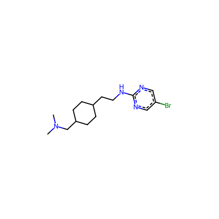 CN(C)CC1CCC(CCNc2ncc(Br)cn2)CC1